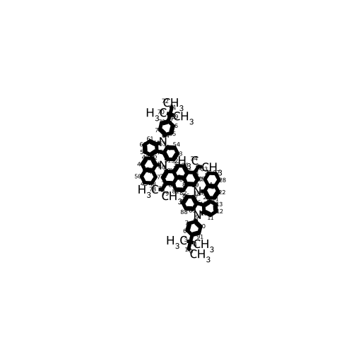 CCC(C)(C)c1ccc(-n2c3ccccc3c3c(N(c4cccc5c4CCCC5)c4cc(C(C)C)c5ccc6c(N(c7cccc8c7CCCC8)c7cccc8c7c7ccccc7n8-c7ccc(C(C)(C)CC)cc7)cc(C(C)C)c7ccc4c5c76)cccc32)cc1